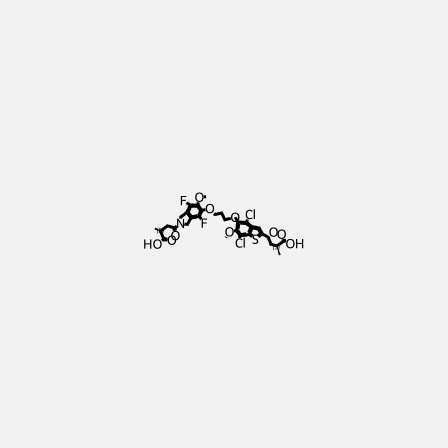 COc1c(F)c2c(c(F)c1OCCCOc1c(OC)c(Cl)c3sc(C(=O)C[C@H](C)C(=O)O)cc3c1Cl)CN(C(=O)C[C@H](C)C(=O)O)C2